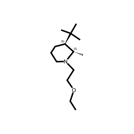 CCOCCN1CCC[C@@H](C(C)(C)C)[C@@H]1C